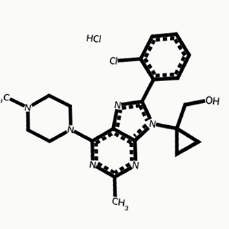 Cc1nc(N2CCN(C)CC2)c2nc(-c3ccccc3Cl)n(C3(CO)CC3)c2n1.Cl